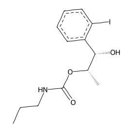 CCCNC(=O)O[C@@H](C)[C@@H](O)c1ccccc1I